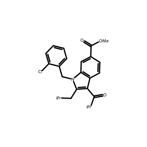 COC(=O)c1ccc2c(C(=O)C(C)C)c(CC(C)C)n(Cc3ccccc3Cl)c2c1